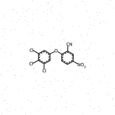 N#Cc1cc([N+](=O)[O-])ccc1Oc1cc(Cl)c(Cl)c(Cl)c1